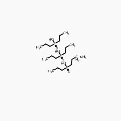 CCCP(=O)(O)CCC.CCCP(=O)(O)CCC.CCCP(=O)(O)CCC.[AlH3]